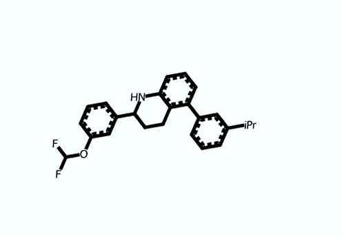 CC(C)c1cccc(-c2cccc3c2CCC(c2cccc(OC(F)F)c2)N3)c1